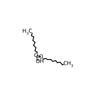 CCCCCCCCCCOP(O)OCCCCCCCCCC